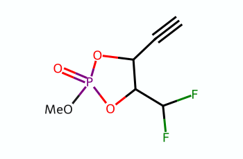 C#CC1OP(=O)(OC)OC1C(F)F